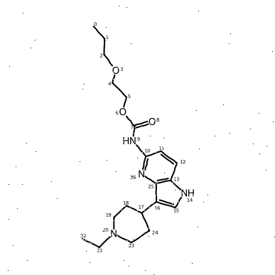 CCCOCCOC(=O)Nc1ccc2[nH]cc(C3CCN(CC)CC3)c2n1